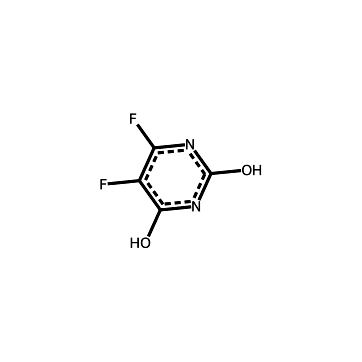 Oc1nc(O)c(F)c(F)n1